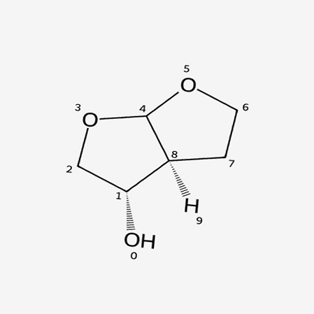 O[C@@H]1COC2OCC[C@H]21